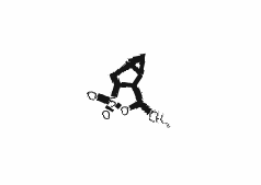 CC1OS(=O)(=O)C2CC3CC3C12